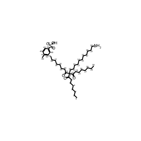 CCCCCCCC(=O)C(CCCCCCCCCCCN)(C(=O)CCCCCCC)C(=O)CCCCCCC.Cc1ccc(S(=O)(=O)O)cc1